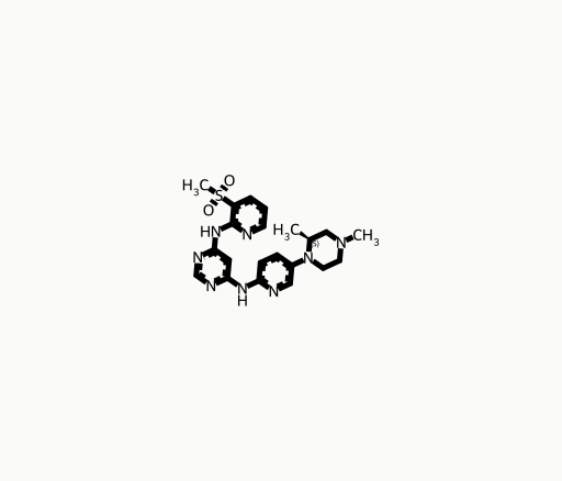 C[C@H]1CN(C)CCN1c1ccc(Nc2cc(Nc3ncccc3S(C)(=O)=O)ncn2)nc1